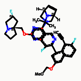 C#Cc1c(F)ccc2cc(OCOC)cc(-c3ncc4c(N5C[C@H]6C=C[C@@H](C5)N6C(C)(C)c5ccccc5)nc(OC[C@@]56CCCN5C[C@H](F)C6)nc4c3F)c12